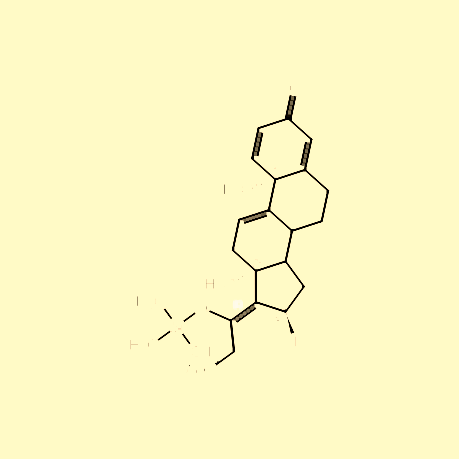 CC(=O)OC/C(O[Si](C)(C)C)=C1\[C@H](I)CC2C3CCC4=CC(=O)C=C[C@]4(C)C3=CC[C@]12C